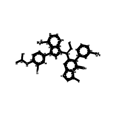 CC[C@@H](c1cc2scc(C)n2c(=O)c1-c1cccc(P)c1)n1nc(-c2ccc(OC(C)C)c(F)c2)c2c(N)ncnc21